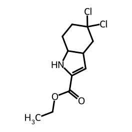 CCOC(=O)C1=CC2CC(Cl)(Cl)CCC2N1